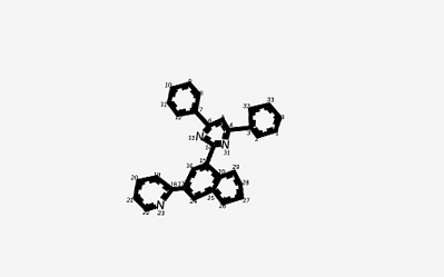 c1ccc(-c2cc(-c3ccccc3)nc(-c3cc(-c4ccccn4)cc4ccccc34)n2)cc1